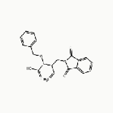 C=CC(CN1C(=O)c2ccccc2C1=O)N(OCc1ccccc1)C(=O)O